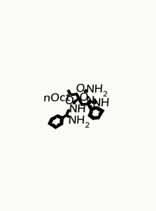 CCCCCCCCC(C)CC(Cc1n[nH]c2ccccc12)(OC(N)=O)C(=O)NCC(N)c1ccccc1